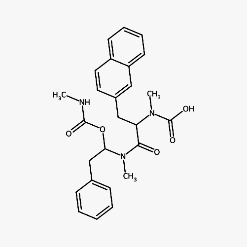 CNC(=O)OC(Cc1ccccc1)N(C)C(=O)C(Cc1ccc2ccccc2c1)N(C)C(=O)O